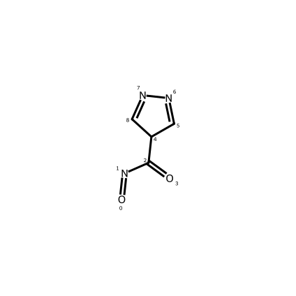 O=NC(=O)C1C=NN=C1